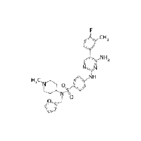 Cc1cc(-c2cnc(Nc3ccc(S(=O)(=O)N(Cc4ccco4)C4CCN(C)CC4)cc3)nc2N)ccc1F